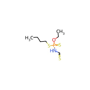 CCCCSP(=S)(NC=S)OCC